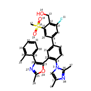 Cc1cn(-c2ccc(-c3cc(F)c(CO)c(S(C)(=O)=O)c3)cc2-c2oc(C)nc2-c2ccccc2C)c(C)n1